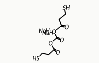 O=C(CCS)OC(=O)OC(=O)CCS.[NaH].[NaH]